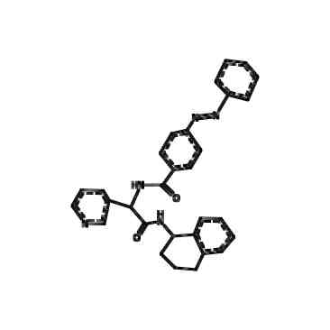 O=C(NC(C(=O)NC1CCCc2ccccc21)c1cccnc1)c1ccc(N=Nc2ccccc2)cc1